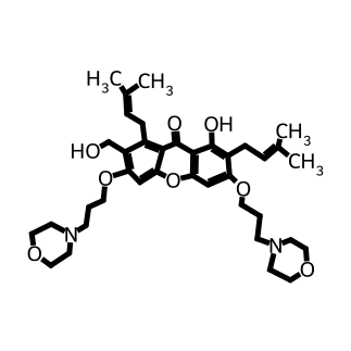 CC(C)=CCc1c(OCCCN2CCOCC2)cc2oc3cc(OCCCN4CCOCC4)c(CO)c(CC=C(C)C)c3c(=O)c2c1O